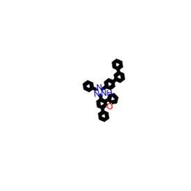 c1ccc(C2=NC(c3ccc(-c4ccccc4)c4oc5ccccc5c34)NC(c3ccc(-c4cccc(-c5ccccc5)c4)cc3)=N2)cc1